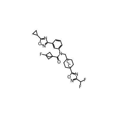 O=C(N(CC12CCC(c3nc(C(F)F)no3)(CC1)CC2)c1cccc(-c2noc(C3CC3)n2)c1)C12CC(F)(C1)C2